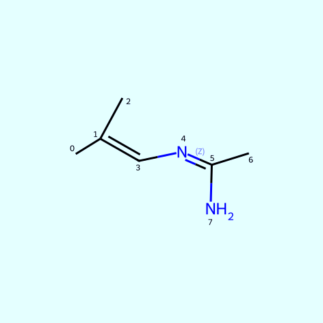 CC(C)=C/N=C(/C)N